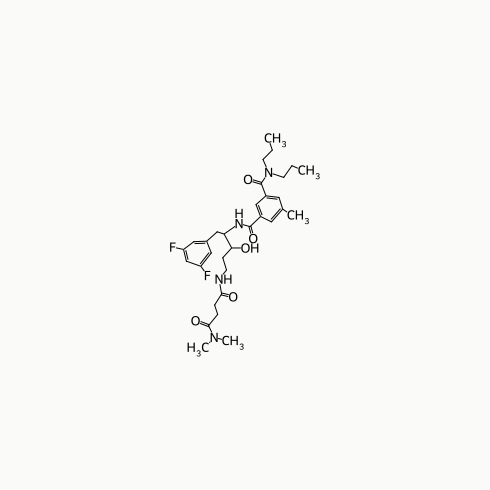 CCCN(CCC)C(=O)c1cc(C)cc(C(=O)NC(Cc2cc(F)cc(F)c2)C(O)CCNC(=O)CCC(=O)N(C)C)c1